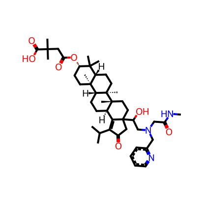 CNC(=O)CN(Cc1ccccn1)CC(O)C12CC[C@]3(C)[C@H](CC[C@@H]4[C@@]5(C)CC[C@H](OC(=O)CC(C)(C)C(=O)O)C(C)(C)[C@@H]5CC[C@]43C)C1=C(C(C)C)C(=O)C2